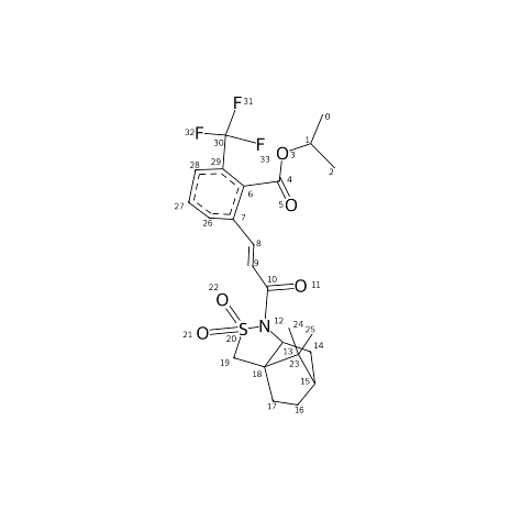 CC(C)OC(=O)c1c(C=CC(=O)N2C3CC4CCC3(CS2(=O)=O)C4(C)C)cccc1C(F)(F)F